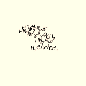 Cc1cc(C)c(NC(=O)c2cc3nc(NC(=O)O)sc3cc2Br)c(C)c1